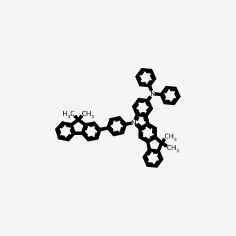 CC1(C)c2ccccc2-c2ccc(-c3ccc(-n4c5ccc(N(c6ccccc6)c6ccccc6)cc5c5cc6c(cc54)-c4ccccc4C6(C)C)cc3)cc21